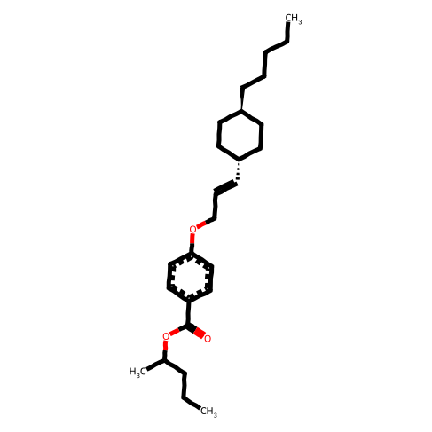 CCCCC[C@H]1CC[C@H](C=CCOc2ccc(C(=O)OC(C)CCC)cc2)CC1